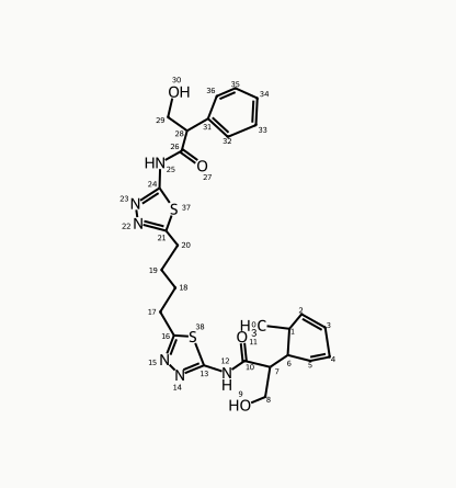 CC1C=CC=CC1C(CO)C(=O)Nc1nnc(CCCCc2nnc(NC(=O)C(CO)c3ccccc3)s2)s1